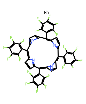 Fc1c(F)c(F)c(-c2c3nc(c(-c4c(F)c(F)c(F)c(F)c4F)c4ccc([nH]4)c(-c4c(F)c(F)c(F)c(F)c4F)c4nc(c(-c5c(F)c(F)c(F)c(F)c5F)c5ccc2[nH]5)C=C4)C=C3)c(F)c1F.[Rh]